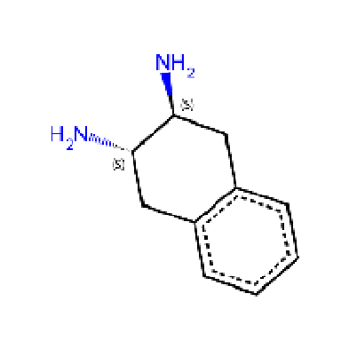 N[C@H]1Cc2ccccc2C[C@@H]1N